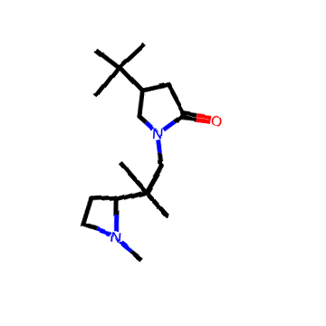 CN1CCC1C(C)(C)CN1CC(C(C)(C)C)CC1=O